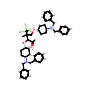 CC(=O)C(O[C@H]1CC[C@H](N(Cc2ccccc2)Cc2ccccc2)CC1)C(C)(CO[C@H]1CC[C@H](N(Cc2ccccc2)Cc2ccccc2)CC1)C(F)(F)F